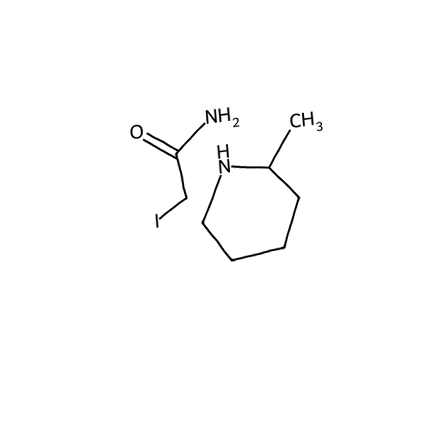 CC1CCCCN1.NC(=O)CI